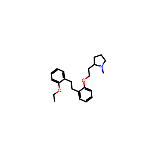 CCOc1ccccc1CCc1ccccc1OCCC1CCCN1C